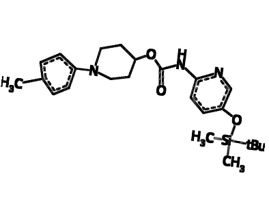 Cc1ccc(N2CCC(OC(=O)Nc3ccc(O[Si](C)(C)C(C)(C)C)cn3)CC2)cc1